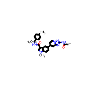 Cc1ccc([C@@H](C)NC(=O)c2cn(C)c3ccc(-c4ccn5nc(NC(=O)C(C)C)nc5c4)cc23)cc1